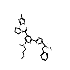 COCCN(C)c1cc(C(=O)N2CCC[C@@H]2c2nc(C)cs2)cc(-c2nnc([C@@](C)(N)Cc3ccccc3)o2)n1